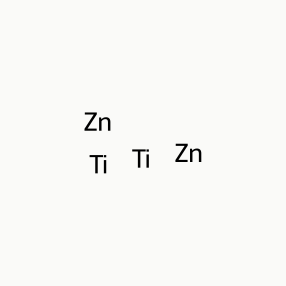 [Ti].[Ti].[Zn].[Zn]